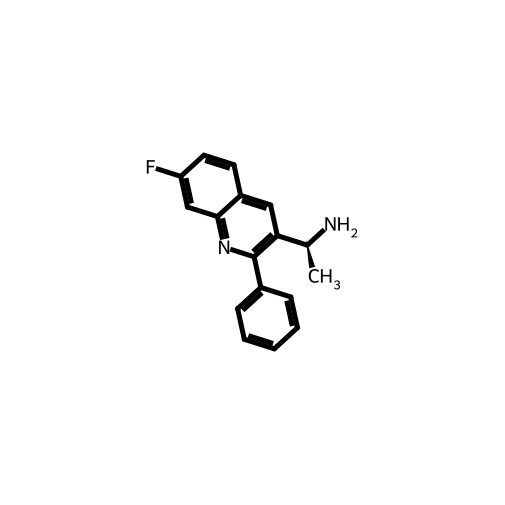 C[C@H](N)c1cc2ccc(F)cc2nc1-c1ccccc1